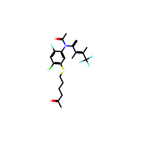 C=C(/C(C)=C(\C)C(F)(F)F)N(C(C)=O)c1cc(SCCCCC(C)=O)c(Cl)cc1F